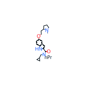 CCCN(CC1CC1)C(=O)c1cc2cc(OCCC3CCCN3C)ccc2[nH]1